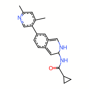 Cc1cc(C)c(-c2ccc3c(c2)=CNC(NC(=O)C2CC2)C=3)cn1